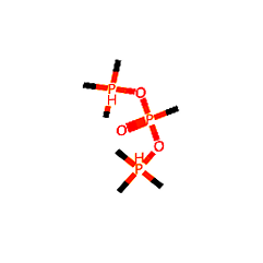 CP(=O)(O[PH](C)(C)C)O[PH](C)(C)C